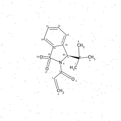 C=CC(=O)N1[C@H](C(C)(C)C)c2ccccc2S1(=O)=O